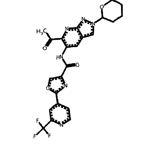 CC(=O)c1nc2nn(C3CCCCO3)cc2cc1NC(=O)c1coc(-c2ccnc(C(F)(F)F)c2)n1